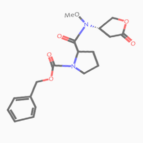 CON(C(=O)C1CCCN1C(=O)OCc1ccccc1)[C@@H]1COC(=O)C1